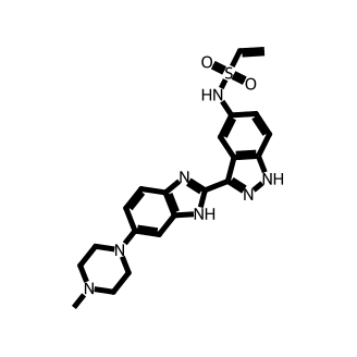 C=CS(=O)(=O)Nc1ccc2[nH]nc(-c3nc4ccc(N5CCN(C)CC5)cc4[nH]3)c2c1